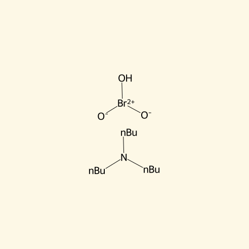 CCCCN(CCCC)CCCC.[O-][Br+2]([O-])O